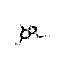 Cc1cc(=O)n2ncn(NC=O)c2n1